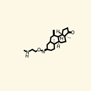 C=C1CC2CC(=NOCCNC)CC[C@]2(C)[C@@H]2CC[C@]3(C)C(=O)CC[C@H]3[C@H]12